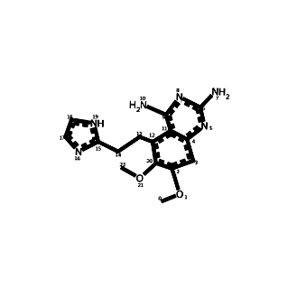 COc1cc2nc(N)nc(N)c2c(CCc2ncc[nH]2)c1OC